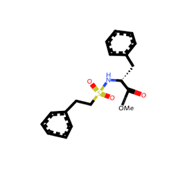 COC(=O)[C@@H](Cc1ccccc1)NS(=O)(=O)CCc1ccccc1